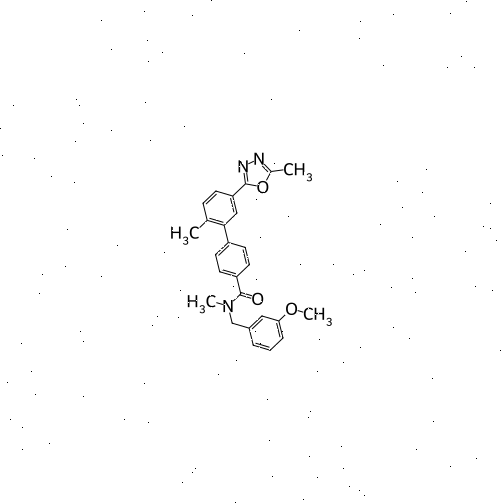 COc1cccc(CN(C)C(=O)c2ccc(-c3cc(-c4nnc(C)o4)ccc3C)cc2)c1